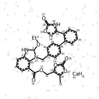 CCOC1Nc2cccc(C(=O)OCc3oc(=O)oc3C)c2N1Cc1ccc(-c2ccccc2-c2noc(=O)[nH]2)cc1.[CaH2]